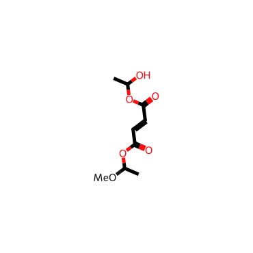 COC(C)OC(=O)C=CC(=O)OC(C)O